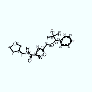 O=C(NCC1CCOC1)c1cc(COC(c2ccccc2)C(F)(F)F)on1